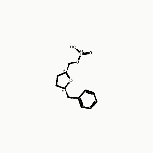 O=[PH](O)OC[C@@H]1CC[C@H](Cc2ccccc2)O1